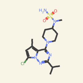 Cc1cc(Cl)n2nc(C(C)C)nc(N3CCC(N(C)S(N)(=O)=O)CC3)c12